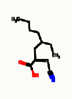 CCCCC(CC)CC(=CC#N)C(=O)O